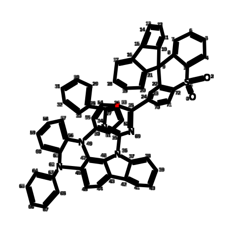 O=S1(=O)c2ccccc2C2(c3ccccc3-c3ccccc32)c2cc(-c3cc(-c4ccccc4)nc(-n4c5ccccc5c5ccc6c(c54)N(c4ccccc4)c4ccccc4N6c4ccccc4)n3)ccc21